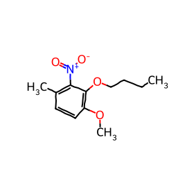 CCCCOc1c(OC)ccc(C)c1[N+](=O)[O-]